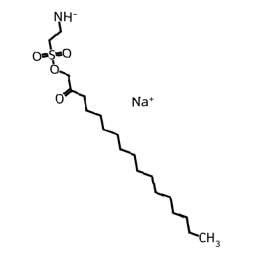 CCCCCCCCCCCCCCCC(=O)COS(=O)(=O)CC[NH-].[Na+]